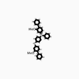 COc1cc(Sc2ccc([SH](c3ccccc3)c3ccc(-c4ccccc4)c(OC)c3)cc2)ccc1-c1ccccc1